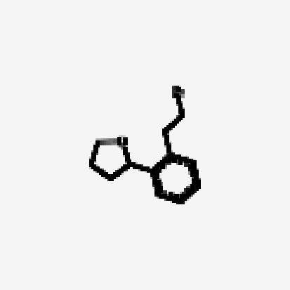 BrCCc1ccccc1C1CCCO1